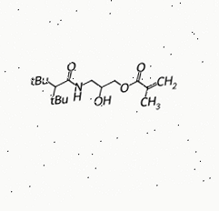 C=C(C)C(=O)OCC(O)CNC(=O)C(C(C)(C)C)C(C)(C)C